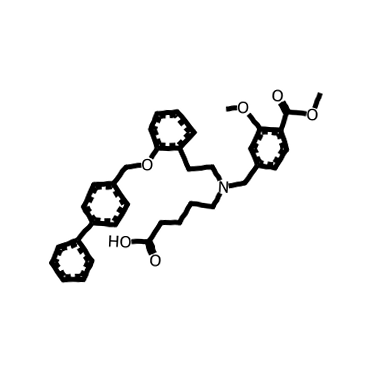 COC(=O)c1ccc(CN(CCCCC(=O)O)CCc2ccccc2OCc2ccc(-c3ccccc3)cc2)cc1OC